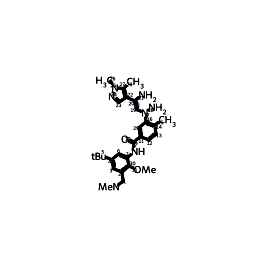 CNCc1cc(C(C)(C)C)cc(NC(=O)c2ccc(C)c(N(N)/C=C(\N)c3cnn(C)c3C)c2)c1OC